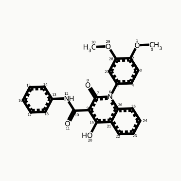 COc1ccc(-n2c(=O)c(C(=O)Nc3ccccc3)c(O)c3ccccc32)cc1OC